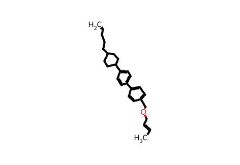 C=CCCCC1CCC(c2ccc(-c3ccc(COCC=CC)cc3)cc2)CC1